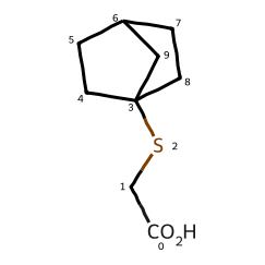 O=C(O)CSC12CCC(CC1)C2